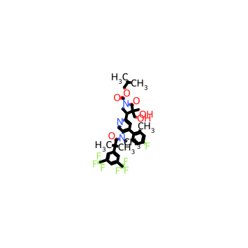 Cc1cc(F)ccc1-c1cc(C2CN(C(=O)OCC(C)C)C(=O)C2(CO)CO)ncc1N(C)C(=O)C(C)(C)c1cc(C(F)(F)F)cc(C(F)(F)F)c1